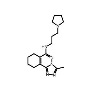 Cc1nnc2c3c(c(NCCCN4CCCC4)nn12)CCCC3